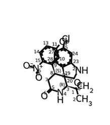 C=C(C)[C@H]1NC(=O)C[C@@H](c2cc(Cl)ccc2[N+](=O)[O-])[C@]12C(=O)Nc1cc(Cl)ccc12